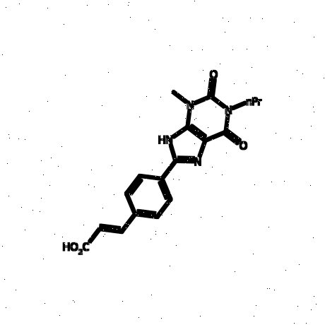 CCCn1c(=O)c2nc(-c3ccc(C=CC(=O)O)cc3)[nH]c2n(C)c1=O